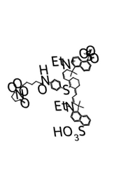 CCN1C(=CC=C2CCCC(C=CC3=[N+](CC)c4ccc5c(S(=O)(=O)[O-])cccc5c4C3(C)C)=C2Sc2ccc(NC(=O)CCCC(=O)ON3C(=O)CCC3=O)cc2)C(C)(C)c2c1ccc1c(S(=O)(=O)O)cccc21